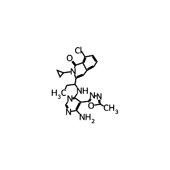 CCC(Nc1ncnc(N)c1-c1nnc(C)o1)c1cc2cccc(Cl)c2c(=O)n1C1CC1